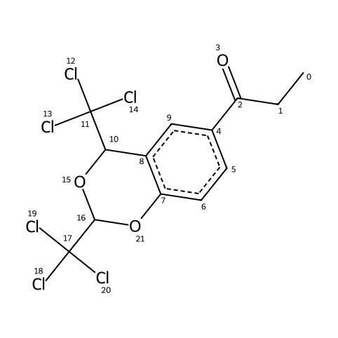 CCC(=O)c1ccc2c(c1)C(C(Cl)(Cl)Cl)OC(C(Cl)(Cl)Cl)O2